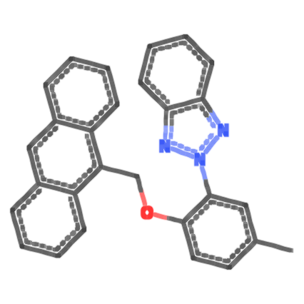 Cc1ccc(OCc2c3ccccc3cc3ccccc23)c(-n2nc3ccccc3n2)c1